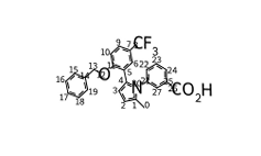 Cc1ccc(-c2cc(C(F)(F)F)ccc2OCc2ccccc2)n1-c1cccc(C(=O)O)c1